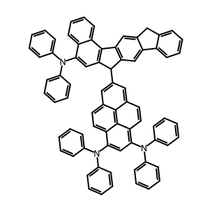 c1ccc(N(c2ccccc2)c2cc3c(c4ccccc24)-c2cc4c(cc2C3c2cc3ccc5c(N(c6ccccc6)c6ccccc6)cc(N(c6ccccc6)c6ccccc6)c6ccc(c2)c3c56)-c2ccccc2C4)cc1